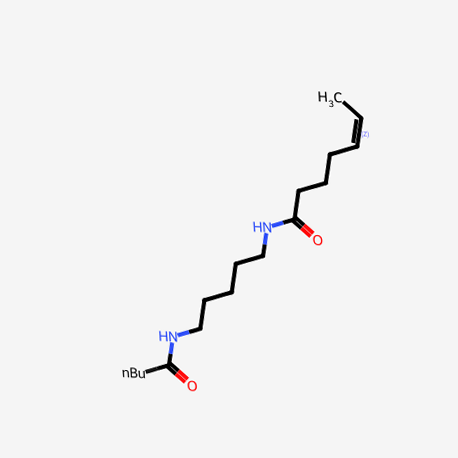 C/C=C\CCCC(=O)NCCCCCNC(=O)CCCC